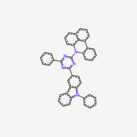 c1ccc(-c2nc(-c3ccc4c(c3)c3ccccc3n4-c3ccccc3)nc(N3c4ccccc4-c4cccc5cccc3c45)n2)cc1